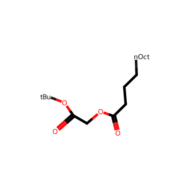 CCCCCCCCCCCC(=O)OCC(=O)OC(C)(C)C